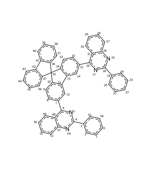 c1ccc(-c2nc(-c3ccc4c(c3)-c3cc(-c5nc(-c6ccccc6)nc6ccccc56)ccc3C43c4ccccc4-c4ccccc43)c3ccccc3n2)cc1